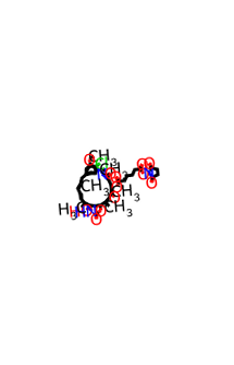 COc1cc2cc(c1Cl)N(C)C(=O)CC(OC(=O)CCCCC(=O)ON1C(=O)CCC1=O)C1(C)OC1C(C)C1CC(O)(NC(=O)O1)C(C)/C=C/C=C(\C)C2